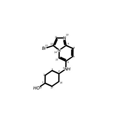 OC1CCC(Nc2ccc3ncc(Br)n3c2)CC1